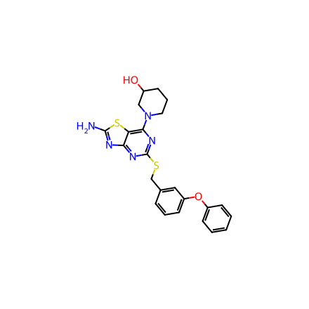 Nc1nc2nc(SCc3cccc(Oc4ccccc4)c3)nc(N3CCCC(O)C3)c2s1